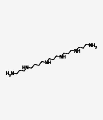 NCCCNCCCCNCCCNCCCNCCCN